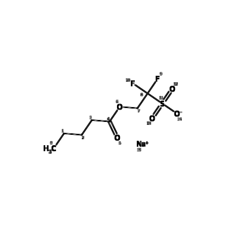 CCCCC(=O)OCC(F)(F)S(=O)(=O)[O-].[Na+]